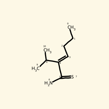 CCC/C=C(/C(N)=S)C(C)C